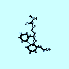 CNC(=O)OCCC(Oc1ccccc1CCO)c1ccccc1